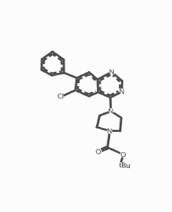 CC(C)(C)OC(=O)N1CCN(c2ncnc3cc(-c4ccccc4)c(Cl)cc23)CC1